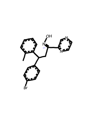 Cc1ccccc1C(C/C(=N/O)c1cnccn1)c1ccc(Br)cc1